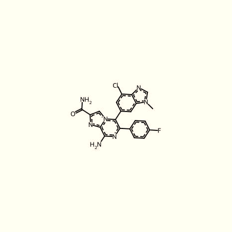 Cn1cnc2c(Cl)cc(-c3c(-c4ccc(F)cc4)nc(N)c4nc(C(N)=O)cn34)cc21